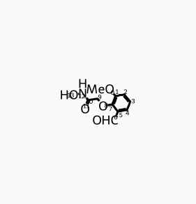 COc1cccc(C=O)c1OCC(=O)NO